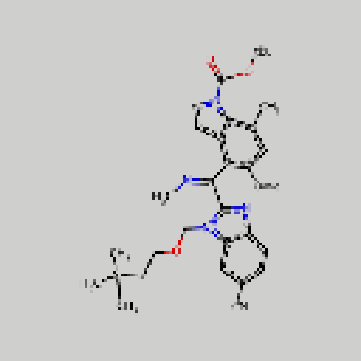 CN=C(c1c(OC)cc(C)c2c1ccn2C(=O)OC(C)(C)C)c1nc2ccc(C#N)cc2n1COCC[Si](C)(C)C